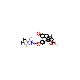 CCN(CC)CCOc1ccc([C@H]2C[C@]3(C)C(=O)CC[C@H]3[C@@H]3CCC4=CC(=O)CCC4=C32)cc1